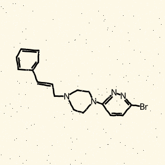 Brc1ccc(N2CCN(CC=Cc3ccccc3)CC2)nn1